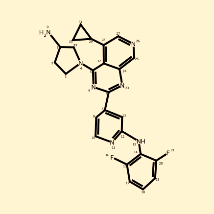 NC1CCN(c2nc(-c3ccnc(Nc4c(F)cccc4F)c3)nc3cncc(C4CC4)c23)C1